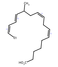 CC/C=C\C=C\C(C)C/C=C\C/C=C\CCCCC(=O)O